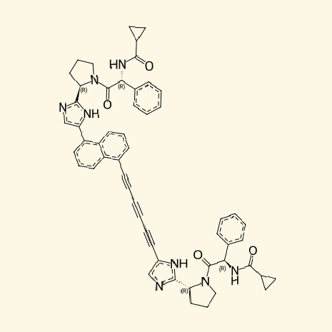 O=C(N[C@@H](C(=O)N1CCC[C@@H]1c1ncc(C#CC#CC#Cc2cccc3c(-c4cnc([C@H]5CCCN5C(=O)[C@H](NC(=O)C5CC5)c5ccccc5)[nH]4)cccc23)[nH]1)c1ccccc1)C1CC1